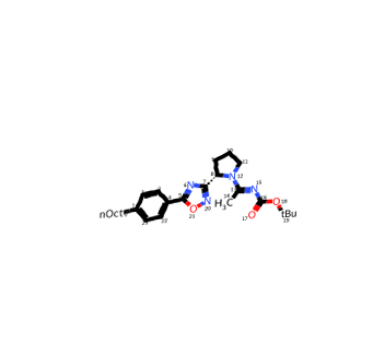 CCCCCCCCc1ccc(-c2nc([C@@H]3CCCN3/C(C)=N/C(=O)OC(C)(C)C)no2)cc1